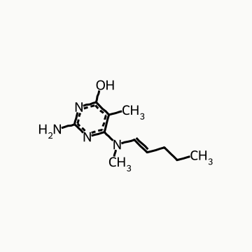 CCC/C=C/N(C)c1nc(N)nc(O)c1C